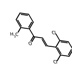 Cc1ccccc1C(=O)C=Cc1c(Cl)cccc1Cl